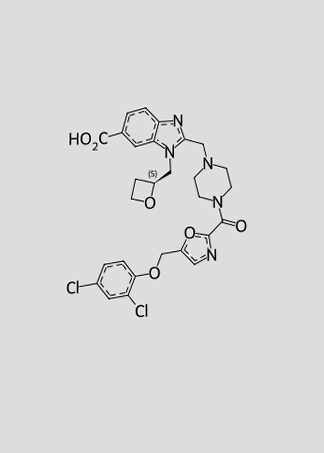 O=C(O)c1ccc2nc(CN3CCN(C(=O)c4ncc(COc5ccc(Cl)cc5Cl)o4)CC3)n(C[C@@H]3CCO3)c2c1